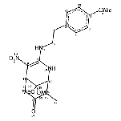 COc1ccc(CCNC2=C([N+](=O)[O-])C3CC(=O)C(C)C(N2)C3(OC)OC)cc1